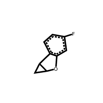 Fc1ccc2c(c1)OC1CC21